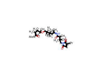 CNC(=O)C(C)C(C)C(C)(C)OCC(C)(C)C(C)(C)CC(C)NC(=O)C(C)C(C)(C)CN1C(=O)C=C(C(C)C)C1=O